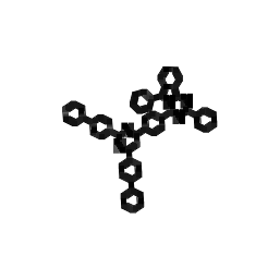 c1ccc(-c2ccc(-c3cc(-c4ccc(-c5nc(-c6ccccc6)nc6c7ccccc7c(-c7ccccc7)n56)cc4)nc(-c4ccc(-c5ccccc5)cc4)n3)cc2)cc1